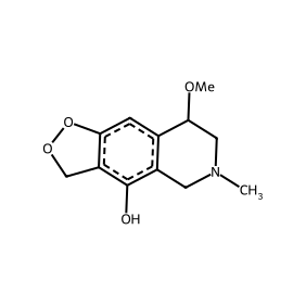 COC1CN(C)Cc2c1cc1c(c2O)COO1